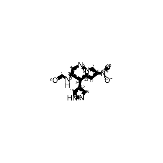 O=CNc1cnn2cc([N+](=O)[O-])cc2c1-c1cn[nH]c1